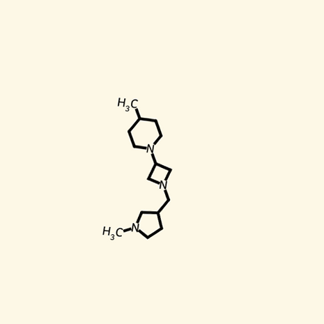 CC1CCN(C2CN(CC3CCN(C)C3)C2)CC1